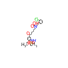 COc1ccc(C(=O)CCCCCN(CCc2ccccc2Cl)C(=O)O)cc1NS(C)(=O)=O